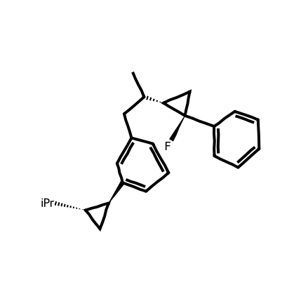 CC(C)[C@H]1C[C@@H]1c1cccc(CC(C)[C@@H]2C[C@]2(F)c2ccccc2)c1